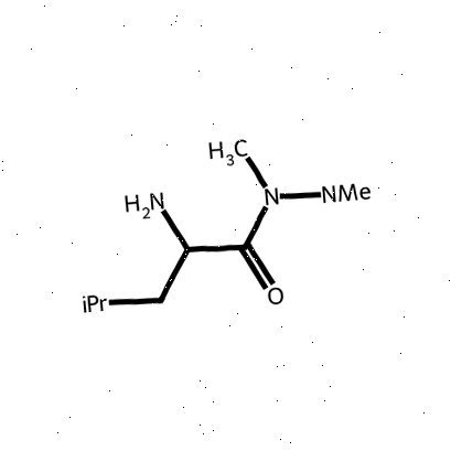 CNN(C)C(=O)C(N)CC(C)C